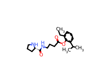 CCc1cccc(C(C)C)c1OC(=O)CCCNC(=O)[C@@H]1CCCN1